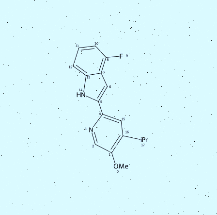 COc1cnc(-c2cc3c(F)cccc3[nH]2)cc1C(C)C